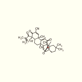 CN(C)C(=O)[C@]1(C)C(=O)C(C#N)=C[C@]2(C)C3=CC(=O)[C@]45OC(=O)[C@@]6(CCC(C)(C)CC64)CC[C@@]5(C)[C@]3(C)CC[C@@H]12